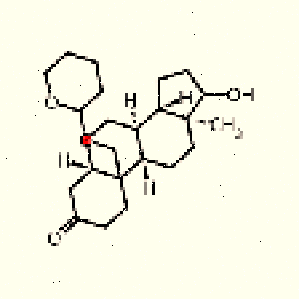 C[C@]12CC[C@H]3[C@@H](CC[C@H]4CC(=O)CCC43COC3CCCCO3)[C@@H]1CCC2O